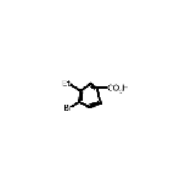 CCc1cc(C(=O)O)ccc1Br